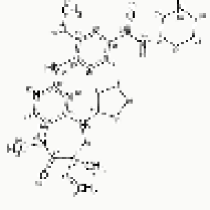 C=CC1(C)CN(C2CCCC2)c2nc(Nc3ccc(C(=O)N[C@H]4CCCNC4)cc3OC)ncc2N(C)C1=O